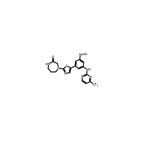 CC(=O)Nc1cc(Nc2nccc(C(F)(F)F)n2)cc(-c2cnc(N3CCCNC(=O)C3)s2)c1